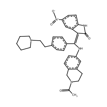 CC(=O)N1CCc2cc(NC(=C3C(=O)Nc4ccc([N+](=O)[O-])cc43)c3ccc(CCN4CCCCC4)cc3)ccc2C1